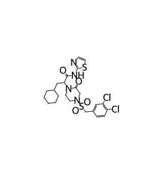 O=C(Nc1nccs1)C(CC1CCCCC1)N1CCN(S(=O)(=O)Cc2ccc(Cl)c(Cl)c2)CC1=O